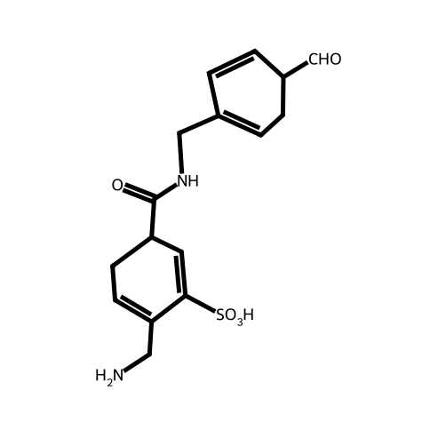 NCC1=CCC(C(=O)NCC2=CCC(C=O)C=C2)C=C1S(=O)(=O)O